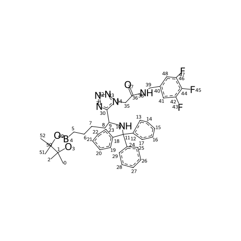 CC1(C)OB(CCCCC(NC(c2ccccc2)(c2ccccc2)c2ccccc2)c2nnnn2CC(=O)NCc2cc(F)c(F)c(F)c2)OC1(C)C